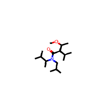 COC(C)C(C(=O)N(CC(C)C)C(C)C(C)C)C(C)C